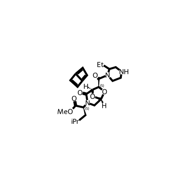 CCC1CNCCN1C(=O)[C@H]1O[C@@H]2CN([C@@H](CC(C)C)C(=O)OC)C(=O)[C@@H]1O2.c1cc2ccc1-2